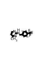 Cc1ccnc(NCc2ccc(C(F)(F)F)cc2)n1